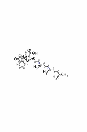 CC(C)=CCC/C(C)=C/CC/C(C)=C/CSC[C@H](NS(=O)(=O)c1ccccc1C(=O)O)C(=O)O